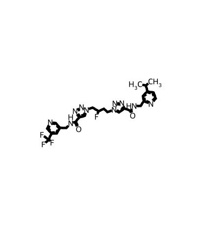 CC(C)c1ccnc(CNC(=O)c2cn(CCC(F)Cn3cc(C(=O)NCc4cncc(C(F)(F)F)c4)nn3)nn2)c1